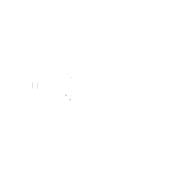 Cc1nc(Cc2ccc(F)cc2)cs1